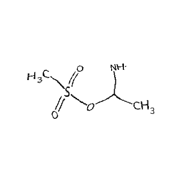 CC([NH])OS(C)(=O)=O